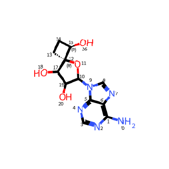 Nc1ncnc2c1ncn2C1O[C@@]2(CC[C@H]2O)C(O)C1O